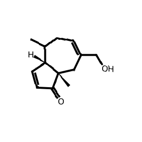 CC1CC=C(CO)C[C@]2(C)C(=O)C=C[C@H]12